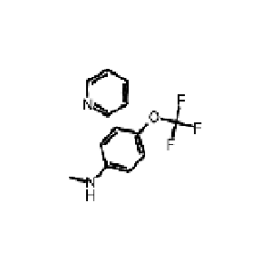 CNc1ccc(OC(F)(F)F)cc1.c1ccncc1